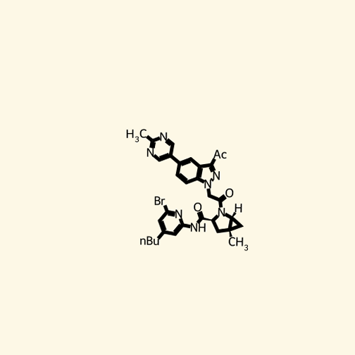 CCCCc1cc(Br)nc(NC(=O)[C@@H]2C[C@@]3(C)C[C@H]3N2C(=O)Cn2nc(C(C)=O)c3cc(-c4cnc(C)nc4)ccc32)c1